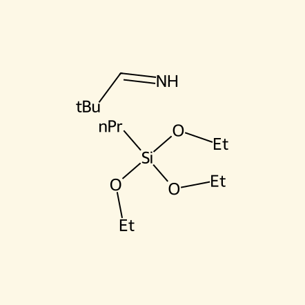 CC(C)(C)C=N.CCC[Si](OCC)(OCC)OCC